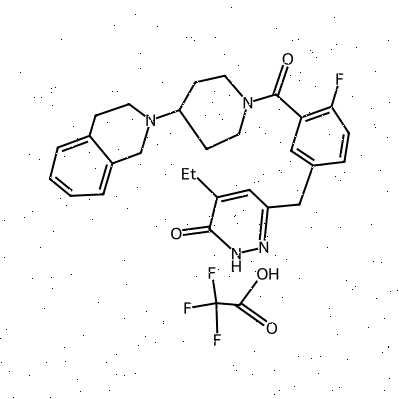 CCc1cc(Cc2ccc(F)c(C(=O)N3CCC(N4CCc5ccccc5C4)CC3)c2)n[nH]c1=O.O=C(O)C(F)(F)F